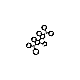 C1=CC=C(N(c2ccccc2)c2cc(-c3ccco3)c(-c3ccc(N(c4ccccc4)c4ccccc4)c4ccccc34)c3ccccc23)CC=C1